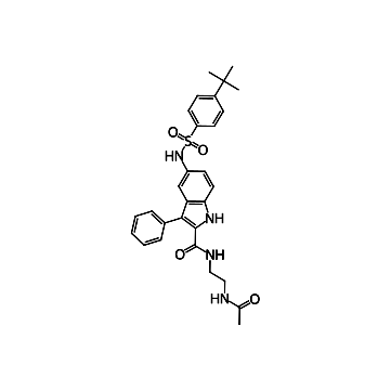 CC(=O)NCCNC(=O)c1[nH]c2ccc(NS(=O)(=O)c3ccc(C(C)(C)C)cc3)cc2c1-c1ccccc1